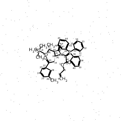 C=CCOC(=O)C(N1C(=O)[C@H]([C@@H](C)O[Si](C)(C)C)[C@H]1CC(=O)c1cccc(C)c1)=P(c1ccccc1)(c1ccccc1)c1ccccc1